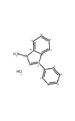 Cl.NN1C=S(c2ccccc2)c2ccccc21